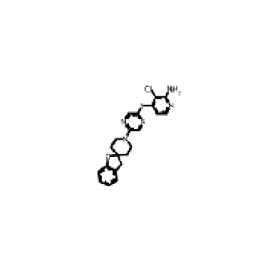 Nc1nccc(Sc2cnc(N3CCC4(CC3)Cc3ccccc3O4)cn2)c1Cl